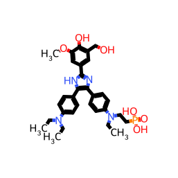 CCN(CC)c1ccc(-c2[nH]c(-c3cc(CO)c(O)c(OC)c3)nc2-c2ccc(N(CC)CCP(=O)(O)O)cc2)cc1